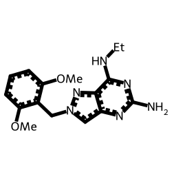 CCNc1nc(N)nc2cn(Cc3c(OC)cccc3OC)nc12